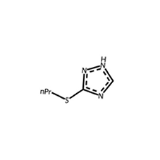 [CH2]CCSc1nc[nH]n1